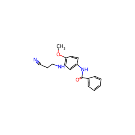 COc1ccc(NC(=O)c2ccccc2)cc1NCCC#N